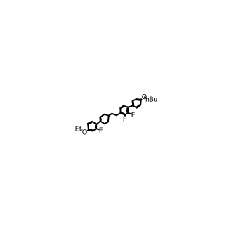 CCCCOc1ccc(-c2ccc(CCC3CC=C(c4ccc(OCC)cc4F)CC3)c(F)c2F)cc1